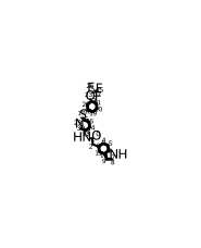 O=C(Cc1ccc2[nH]ccc2c1)Nc1ccc(Sc2cccc(OC(F)(F)F)c2)nc1